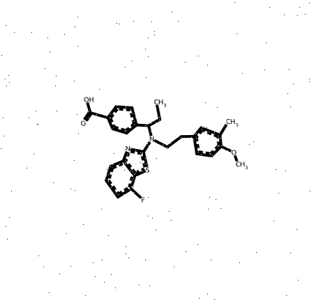 CCC(c1ccc(C(=O)O)cc1)N(CCc1ccc(OC)c(C)c1)c1nc2cccc(F)c2s1